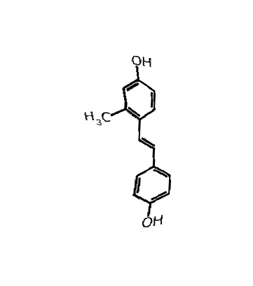 Cc1cc(O)ccc1C=Cc1ccc(O)cc1